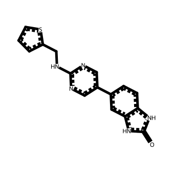 O=c1[nH]c2ccc(-c3cnc(NCc4cccs4)nc3)cc2[nH]1